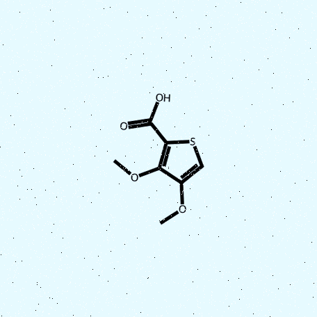 COc1csc(C(=O)O)c1OC